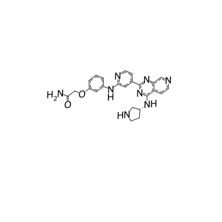 NC(=O)COc1cccc(Nc2cc(-c3nc(N[C@@H]4CCNC4)c4ccncc4n3)ccn2)c1